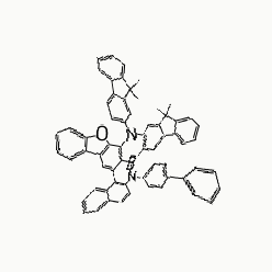 CC1(C)c2ccccc2-c2ccc(N3c4cc5c(cc4B4c6c(cc7c(oc8ccccc87)c63)-c3c(ccc6ccccc36)N4c3ccc(-c4ccccc4)cc3)-c3ccccc3C5(C)C)cc21